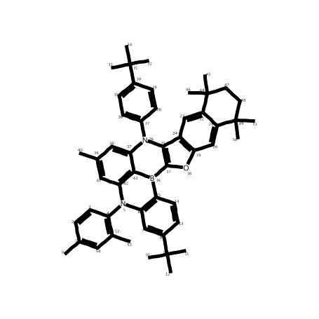 Cc1ccc(N2c3cc(C(C)(C)C)ccc3B3c4oc5cc6c(cc5c4N(c4ccc(C(C)(C)C)cc4)c4cc(C)cc2c43)C(C)(C)CCC6(C)C)c(C)c1